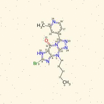 CCCCCn1c2nc(Br)[nH]c2c(=O)n2c(-c3ccnc(C)c3)nnc12